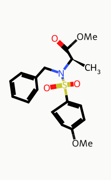 COC(=O)[C@@H](C)N(Cc1ccccc1)S(=O)(=O)c1ccc(OC)cc1